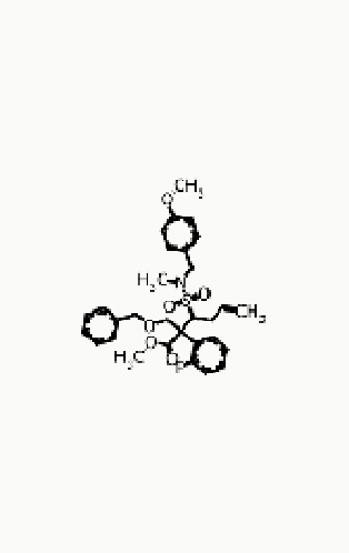 C=CCC(C(COCc1ccccc1)(C(=O)OC)c1ccccc1F)S(=O)(=O)N(C)Cc1ccc(OC)cc1